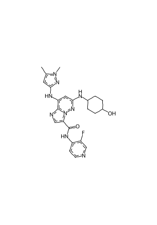 Cc1cc(Nc2cc(NC3CCC(O)CC3)nn3c(C(=O)Nc4ccncc4F)cnc23)nn1C